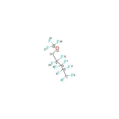 FC(F)C(F)(F)C(F)(F)C(F)(F)COC(F)(F)F